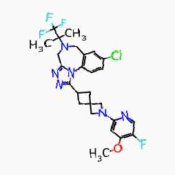 COc1cc(N2CC3(CC(c4nnc5n4-c4ccc(Cl)cc4CN(C(C)(C)C(F)(F)F)C5)C3)C2)ncc1F